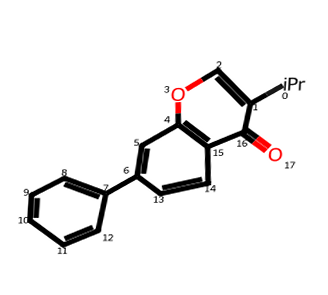 CC(C)c1coc2cc(-c3ccccc3)ccc2c1=O